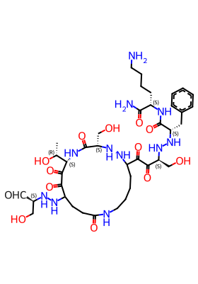 C[C@@H](O)[C@@H]1NC(=O)[C@H](CO)NNC(C(=O)C(=O)[C@H](CO)NN[C@@H](Cc2ccccc2)C(=O)N[C@@H](CCCCN)C(N)=O)CCCCNC(=O)CCC(NN[C@H](C=O)CO)C(=O)C1=O